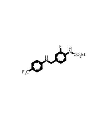 CCOC(=O)Nc1ccc(CNc2ccc(C(F)(F)F)cc2)cc1F